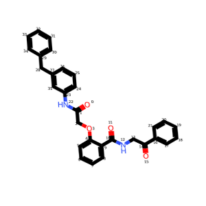 O=C(COc1ccccc1C(=O)NCC(=O)c1ccccc1)Nc1cccc(Cc2ccccc2)c1